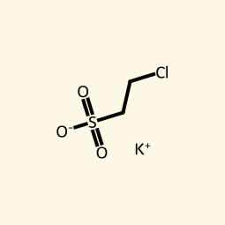 O=S(=O)([O-])CCCl.[K+]